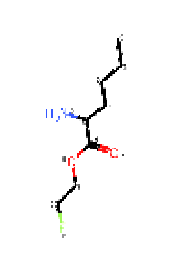 CCCCC(N)C(=O)OCCF